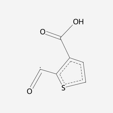 O=[C]c1sccc1C(=O)O